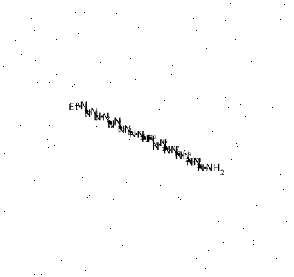 CCN=NN=NN=NN=NN=NN=NN=NN=NN=NN=NN=NN